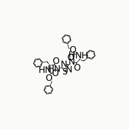 O=C(N[C@@H](Cc1ccccc1)C(=O)Nc1nsc(NC(=O)[C@H](Cc2ccccc2)NC(=O)OCc2ccccc2)n1)OCc1ccccc1